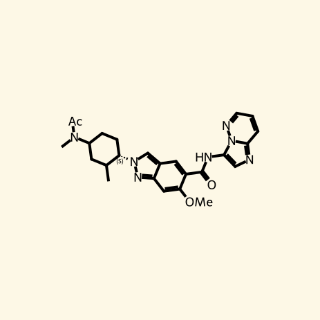 COc1cc2nn([C@H]3CCC(N(C)C(C)=O)CC3C)cc2cc1C(=O)Nc1cnc2cccnn12